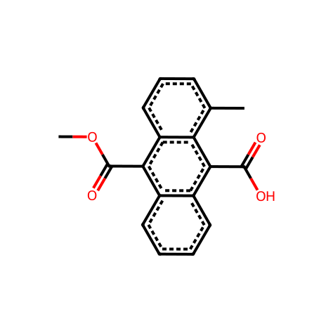 COC(=O)c1c2ccccc2c(C(=O)O)c2c(C)cccc12